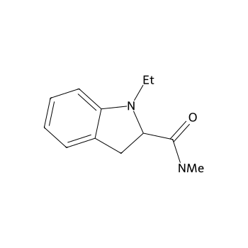 CCN1c2ccccc2CC1C(=O)NC